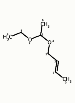 CC=CCOC(C)OCC